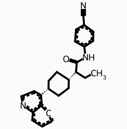 CCC(C(=O)Nc1ccc(C#N)cc1)[C@H]1CC[C@@H](c2ccnc3ccccc32)CC1